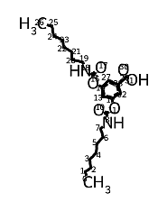 CCCCCCCCNC(=O)Oc1cc(OC(=O)NCCCCCCCC)cc(C(=O)O)c1